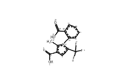 Cc1c(C(=O)O)cc(C(F)(F)F)n1-c1ccccc1C(=O)O